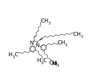 CCCCCCC=CC(=Nc1cc(CCCCC)cc(CCCCC)c1)C(C#CCCCCCCCCCCCC)=Nc1cc(CCCCC)cc(CCCCC)c1.[Ni]